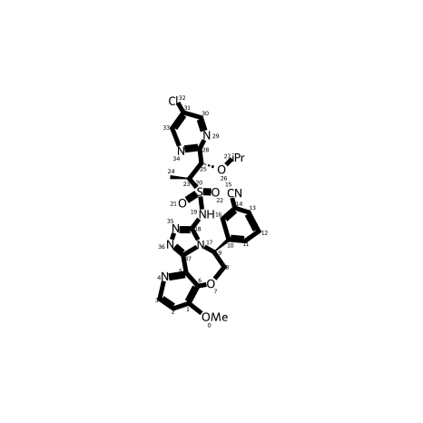 COc1ccnc2c1OC[C@H](c1cccc(C#N)c1)n1c(NS(=O)(=O)[C@@H](C)[C@@H](OC(C)C)c3ncc(Cl)cn3)nnc1-2